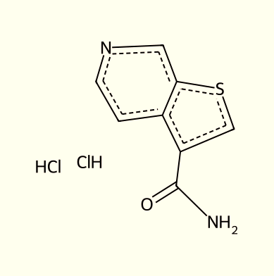 Cl.Cl.NC(=O)c1csc2cnccc12